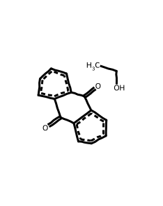 CCO.O=C1c2ccccc2C(=O)c2ccccc21